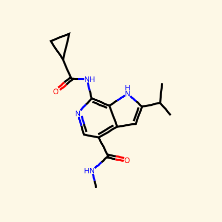 CNC(=O)c1cnc(NC(=O)C2CC2)c2[nH]c(C(C)C)cc12